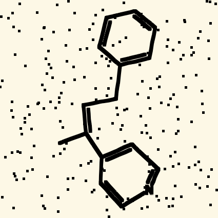 CC(=CCc1ccccc1)c1ccncc1